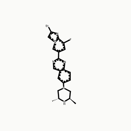 CCc1cn2cc(-c3ncc4cc(N5C[C@@H](C)N[C@H](C)C5)ccc4n3)cc(F)c2n1